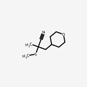 CSC(C)(C#N)CC1CCOCC1